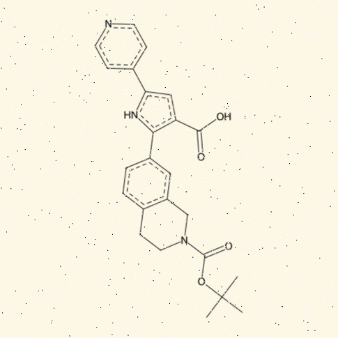 CC(C)(C)OC(=O)N1CCc2ccc(-c3[nH]c(-c4ccncc4)cc3C(=O)O)cc2C1